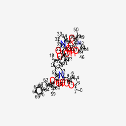 CCC1CC[C@@H](C)[C@](O)(CC(=O)N2CCC(CC(C)C3CC[C@@H](C)[C@](O)(C(=O)C(=O)N4CCCC[C@H]4C(=O)O[C@H](/C(C)=C/[C@@H](C)[C@H](C)O)C(C)C)O3)C[C@H]2C(=O)O[C@@H](C(C)C)[C@H](CC)Cc2ccccc2)O1